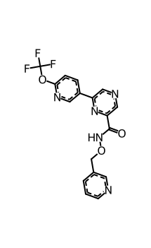 O=C(NOCc1cccnc1)c1cncc(-c2ccc(OC(F)(F)F)nc2)n1